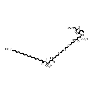 C=C[C@H](NC(=O)CNC)C(=O)N[C@@H](CC(=O)NCCCOCCOCCOCCCNC(=O)CC[C@H](NC(=O)CCCCCCCCCCCCCCCCC(=O)O)C(=O)O)C(=O)O